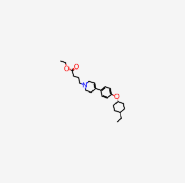 CCOC(=O)CCCN1CC=C(c2ccc(O[C@H]3CC[C@H](CC)CC3)cc2)CC1